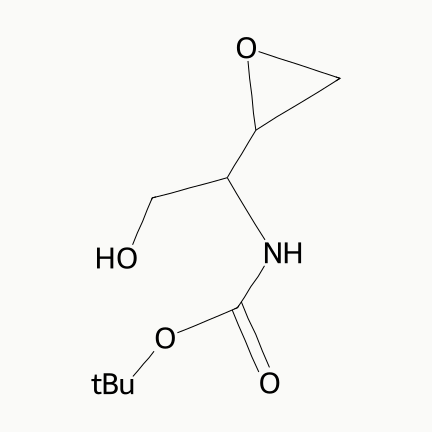 CC(C)(C)OC(=O)NC(CO)C1CO1